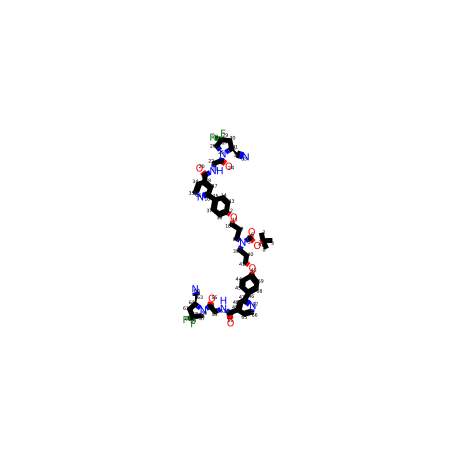 CC(C)(C)OC(=O)N(CCCOc1ccc(-c2cc(C(=O)NCC(=O)N3CC(F)(F)C[C@H]3C#N)ccn2)cc1)CCCOc1ccc(-c2cc(C(=O)NCC(=O)N3CC(F)(F)C[C@H]3C#N)ccn2)cc1